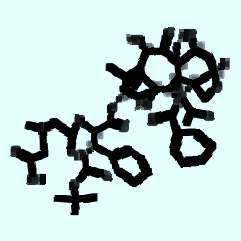 CC(=O)O[C@@]12CO[C@@H]1C[C@H](O)[C@@]1(C)C(=O)[C@H](O)C3=C(C)[C@@H](OC(=O)[C@H](OC(=O)CN(C)CC(=O)O)[C@@H](NC(=O)OC(C)(C)C)c4ccccc4)C[C@@](O)([C@@H](OC(=O)c4ccccc4)[C@H]21)C3(C)C